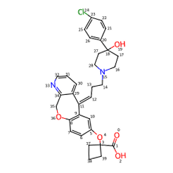 O=C(O)C1(Oc2ccc3c(c2)/C(=C/CCN2CCC(O)(c4ccc(Cl)cc4)CC2)c2cccnc2CO3)CCC1